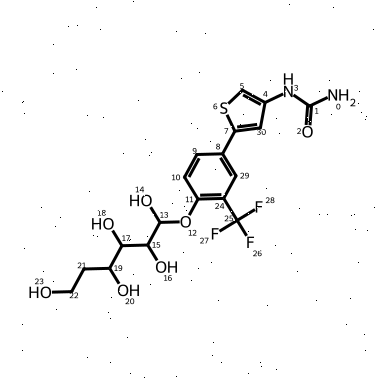 NC(=O)Nc1csc(-c2ccc(OC(O)C(O)C(O)C(O)CCO)c(C(F)(F)F)c2)c1